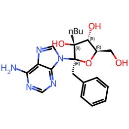 CCCC[C@@]1(O)[C@H](O)[C@@H](CO)O[C@@]1(Cc1ccccc1)n1cnc2c(N)ncnc21